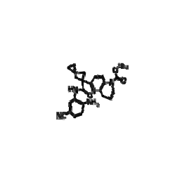 CC(C)(C)OC(=O)N1CCCc2nc(C3(C(=O)Nc4cc(C#N)ccc4N)CC4(CC4)C3)ccc21